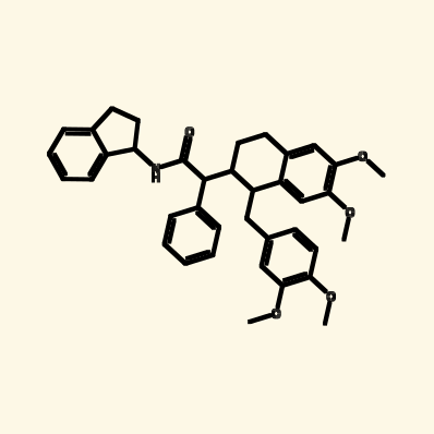 COc1ccc(CC2c3cc(OC)c(OC)cc3CCC2C(C(=O)NC2CCc3ccccc32)c2ccccc2)cc1OC